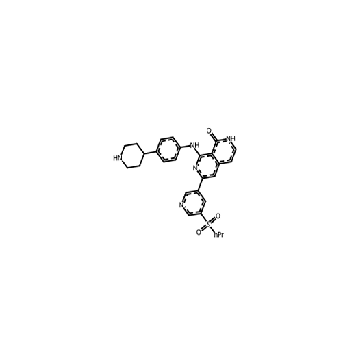 CCCS(=O)(=O)c1cncc(-c2cc3cc[nH]c(=O)c3c(Nc3ccc(C4CCNCC4)cc3)n2)c1